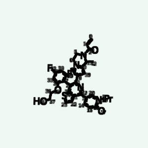 C=CC(=O)N1CCn2nc(-c3nc(-c4ccc(=O)n(C(C)C)c4)c4ccsc4c3-c3c(F)cc(F)cc3OCCO)cc2C1C